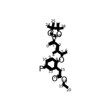 C=C(/C=C(\C)C(C)Oc1ccc(F)cc1CC(=O)OCC)B1OC(C)(C)C(C)(C)O1